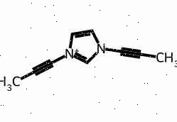 CC#Cn1cc[n+](C#CC)c1